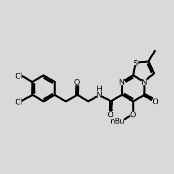 CCCCOc1c(C(=O)NCC(=O)Cc2ccc(Cl)c(Cl)c2)nc2sc(C)cn2c1=O